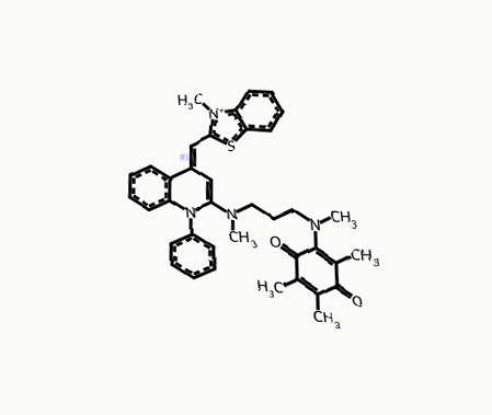 CC1=C(C)C(=O)C(N(C)CCCN(C)C2=C/C(=C\c3sc4ccccc4[n+]3C)c3ccccc3N2c2ccccc2)=C(C)C1=O